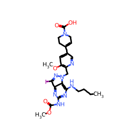 CCCCNc1nc(NC(=O)OC)nc2c(I)nn(Cc3ncc(C4=CCN(C(=O)O)CC4)cc3OC)c12